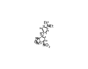 CCN(CC)c1ccc(Sc2ccc([N+](=O)[O-])c3nonc23)cc1